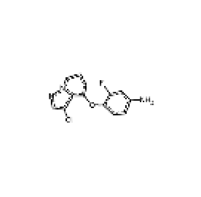 Nc1ccc(Oc2cccn3ncc(Cl)c23)c(F)c1